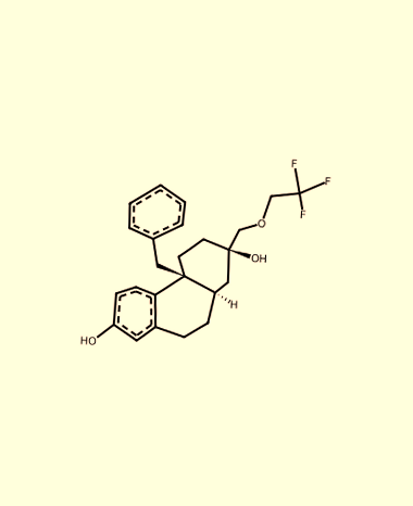 Oc1ccc2c(c1)CC[C@@H]1C[C@@](O)(COCC(F)(F)F)CC[C@@]21Cc1ccccc1